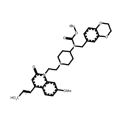 COc1ccc2c(/C=C/C(=O)O)cc(=O)n(CCN3CCC(N(Cc4ccc5c(c4)OCCO5)C(=O)OC(C)(C)C)CC3)c2c1